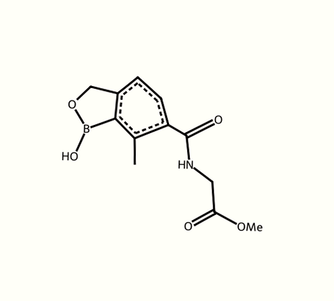 COC(=O)CNC(=O)c1ccc2c(c1C)B(O)OC2